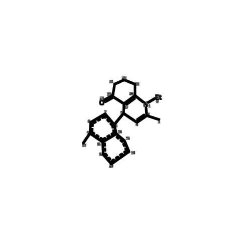 CCN1C(C)=CC(c2ccc(C)c3ccccc23)C2=C1CCCC2=O